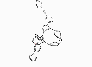 O=C1C(c2ccccc2)=C2C(c3cccc(C#Cc4ccccc4)c3)=C1c1ccc(-c3cccc(C#Cc4ccccc4)c3)c(c1)-c1ccc(cc1)Oc1ccc2cc1